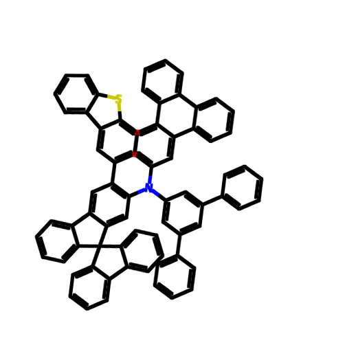 c1ccc(-c2cc(-c3ccccc3)cc(N(c3ccc4c5ccccc5c5ccccc5c4c3)c3cc4c(cc3-c3ccc5sc6ccccc6c5c3)-c3ccccc3C43c4ccccc4-c4ccccc43)c2)cc1